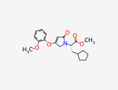 COC(=O)[C@H](CC1CCCC1)N1CC(Oc2ccccc2OC)=CC1=O